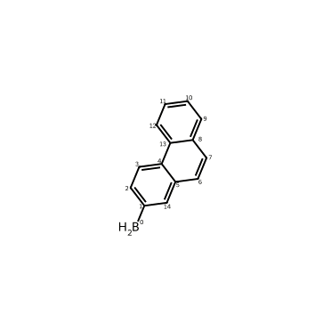 Bc1ccc2c(ccc3ccccc32)c1